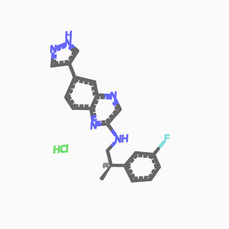 C[C@@H](CNc1cnc2cc(-c3cn[nH]c3)ccc2n1)c1cccc(F)c1.Cl